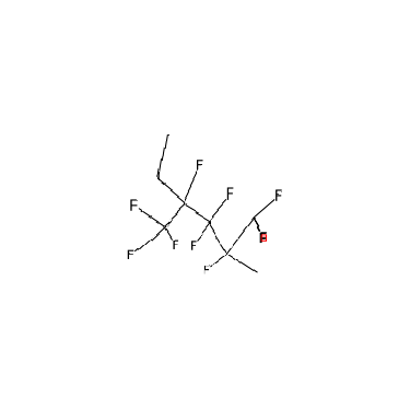 CCC(F)(C(F)(F)F)C(F)(F)C(C)(F)C(F)(F)F